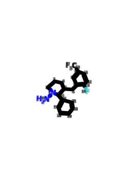 NN1CCCC(Cc2cc(C(F)(F)F)ccc2F)C1c1ccccc1